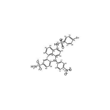 NS(=O)(=O)c1ccc(N(c2ccc([N+](=O)[O-])cc2)c2ccc(NS(=O)(=O)c3ccc(I)cc3)c3ccccc23)cc1